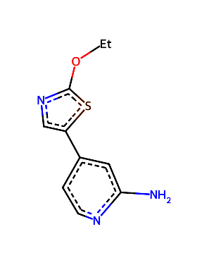 CCOc1ncc(-c2ccnc(N)c2)s1